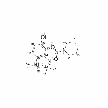 CC(C)(C)N(OC(=O)N1CCCCC1)c1cc(O)ccc1[N+](=O)[O-]